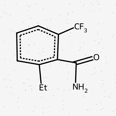 CCc1cccc(C(F)(F)F)c1C(N)=O